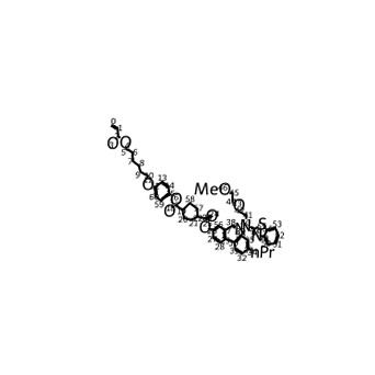 C=CC(=O)OCCCCCCOc1ccc(OC(=O)C2CCC(C(=O)Oc3ccc(-c4ccc(CCC)cc4)c(/C=N/N(CCOCCOC)c4nc5ccccc5s4)c3)CC2)cc1